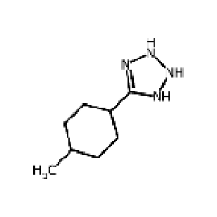 CC1CCC(C2=NNNN2)CC1